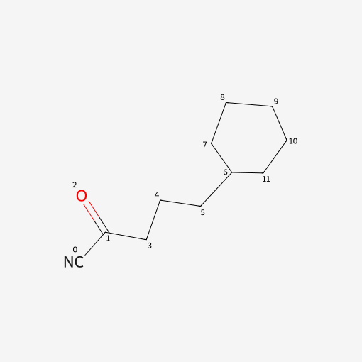 N#CC(=O)CCCC1CCCCC1